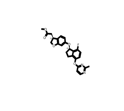 COC(=O)C[C@@H]1COc2cc(O[C@@H]3CCc4c(Oc5ccnc(C)n5)ccc(F)c43)ccc21